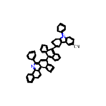 N#Cc1ccc2c(c1)c1c(n2-c2ccccc2)CCC(c2c3ccccc3c(-c3cc4c(-c5ccccc5)nc5c6ccccc6ccc5c4c4ccccc34)c3ccccc23)=C1